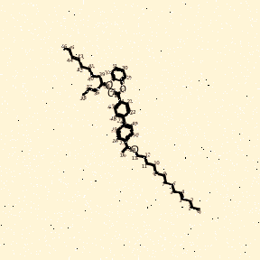 CCCCCCCCCCCCCCOC(C)c1ccc(-c2ccc(C(=O)Oc3ccccc3OC(CCC)CCCCCCCC)cc2)cc1